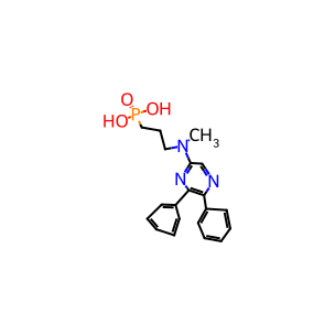 CN(CCCP(=O)(O)O)c1cnc(-c2ccccc2)c(-c2ccccc2)n1